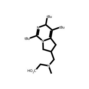 CN(CC(=O)O)CC1CC2=C(C(C)(C)C)C(C(C)(C)C)N=C(C(C)(C)C)N2C1